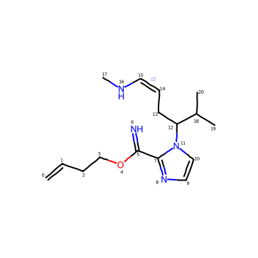 C=CCCOC(=N)c1nccn1C(C/C=C\NC)C(C)C